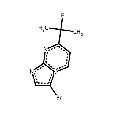 CC(C)(F)c1ccn2c(Br)cnc2n1